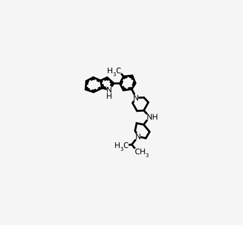 Cc1ccc(N2CCC(NC3CCN(C(C)C)CC3)CC2)cc1-c1cc2ccccc2[nH]1